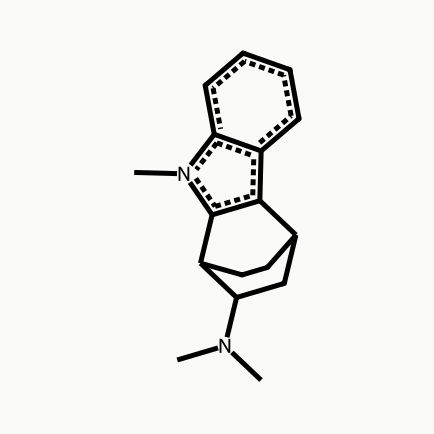 CN(C)C1CC2CCC1c1c2c2ccccc2n1C